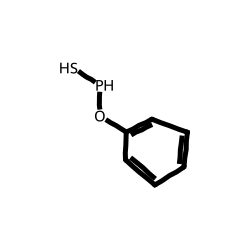 SPOc1ccccc1